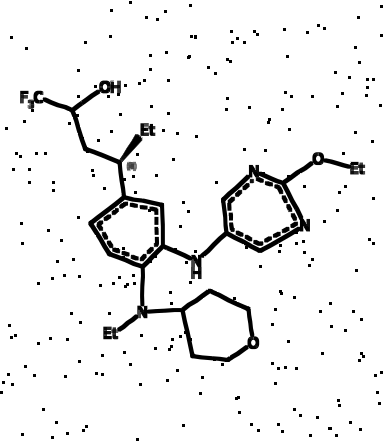 CCOc1ncc(Nc2cc([C@H](CC)CC(O)C(F)(F)F)ccc2N(CC)C2CCOCC2)cn1